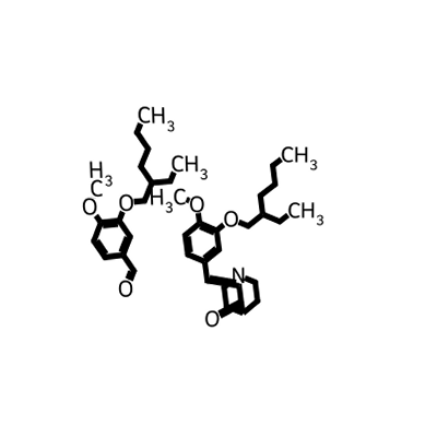 CCCCC(CC)COc1cc(/C=C2/C(=O)C3CCN2CC3)ccc1OC.CCCCC(CC)COc1cc(C=O)ccc1OC